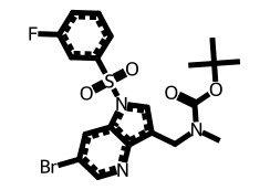 CN(Cc1cn(S(=O)(=O)c2cccc(F)c2)c2cc(Br)cnc12)C(=O)OC(C)(C)C